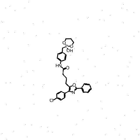 O=C(CCCc1oc(-c2ccccc2)nc1-c1ccc(Cl)cc1)Nc1ccc(C[P]2(O)OCCCO2)cc1